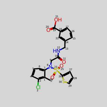 Cc1c(Cl)cccc1N(CC(=O)NCc1cccc(C(=O)O)c1)S(=O)(=O)c1cccs1